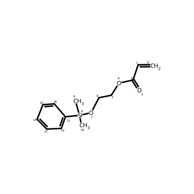 C=CC(=O)OCCO[Si](C)(C)c1ccccc1